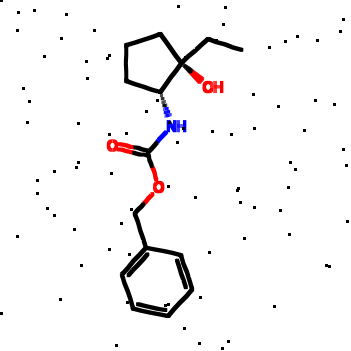 CC[C@@]1(O)CCC[C@H]1NC(=O)OCc1ccccc1